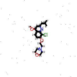 COc1cc(C=C(C)C)nc2c(Cl)c(OCCN3CCOCC3)ccc12